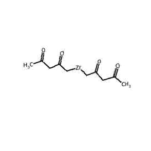 CC(=O)CC(=O)[CH2][Zr][CH2]C(=O)CC(C)=O